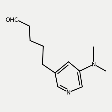 CN(C)c1cncc(CCCCC=O)c1